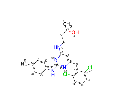 CC(O)CCNc1cc(Cc2c(Cl)cccc2Cl)nc(Nc2ccc(C#N)cc2)n1